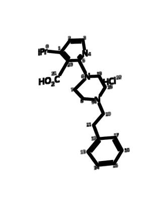 CC(C)c1ccnc(N2CCN(CCc3ccccc3)CC2)c1C(=O)O.Cl